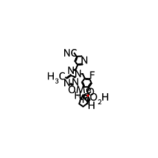 COc1nc(C)c2nc(-c3cncc(C#N)c3)n(Cc3ccc(O[C@H]4C[C@H]5CC[C@@H](C4)N5C(=O)O)cc3F)c2n1